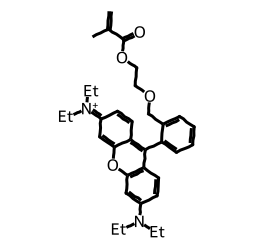 C=C(C)C(=O)OCCOCc1ccccc1-c1c2ccc(=[N+](CC)CC)cc-2oc2cc(N(CC)CC)ccc12